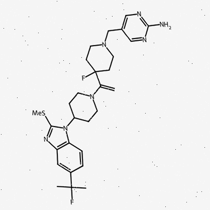 C=C(N1CCC(n2c(SC)nc3cc(C(C)(C)F)ccc32)CC1)C1(F)CCN(Cc2cnc(N)nc2)CC1